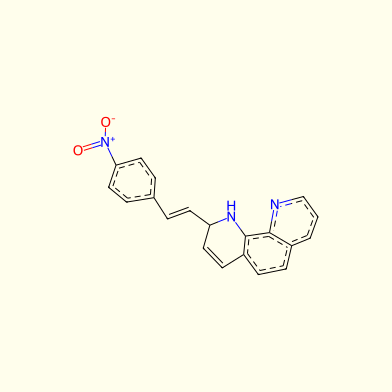 O=[N+]([O-])c1ccc(/C=C/C2C=Cc3ccc4cccnc4c3N2)cc1